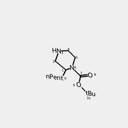 CCCCCC1CNCCN1C(=O)OC(C)(C)C